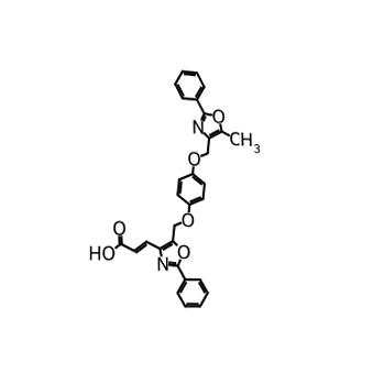 Cc1oc(-c2ccccc2)nc1COc1ccc(OCc2oc(-c3ccccc3)nc2C=CC(=O)O)cc1